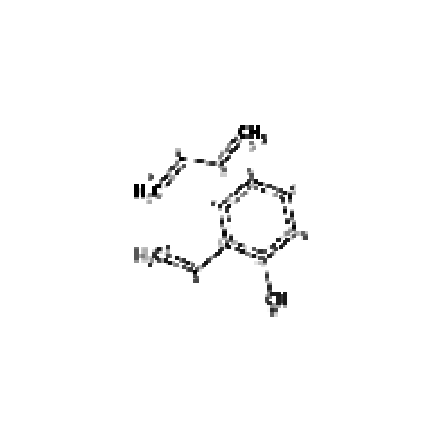 C=CC=C.C=Cc1ccccc1C#N